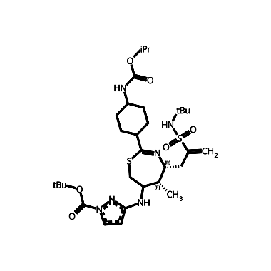 C=C(C[C@H]1N=C(C2CCC(NC(=O)OC(C)C)CC2)SCC(Nc2ccn(C(=O)OC(C)(C)C)n2)[C@H]1C)S(=O)(=O)NC(C)(C)C